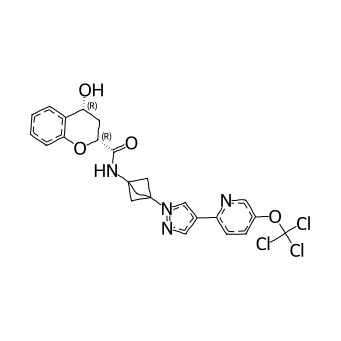 O=C(NC12CC(n3cc(-c4ccc(OC(Cl)(Cl)Cl)cn4)cn3)(C1)C2)[C@H]1C[C@@H](O)c2ccccc2O1